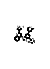 Cc1cc(-c2cc(-c3nnc[nH]3)c3ncn(-c4cc(-c5cn[nH]c5)nc5ccccc45)c3c2)ccn1